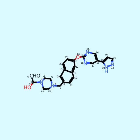 O=CC(O)N1CCN(Cc2ccc3cc(Oc4ncc(-c5ccn[nH]5)cn4)ccc3c2)CC1